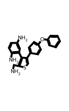 NCc1scc(-c2ccc(Oc3ccccc3)cc2)c1-c1cc(N)ccc1N